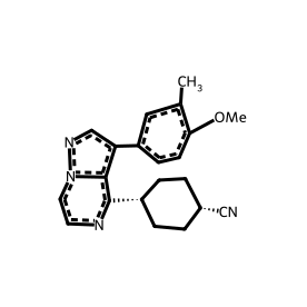 COc1ccc(-c2cnn3ccnc([C@H]4CC[C@@H](C#N)CC4)c23)cc1C